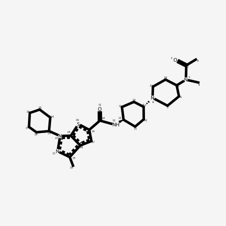 CC(=O)N(C)C1CCN([C@H]2CC[C@H](NC(=O)c3cc4c(C)nn(C5CCCCC5)c4s3)CC2)CC1